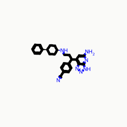 N#Cc1ccc(C(CCN[C@H]2CC[C@H](c3ccccc3)CC2)c2cc(N)nc3[nH]nnc23)cc1